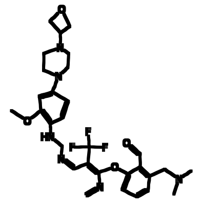 C=N/C(Oc1cccc(CN(C)C)c1C=O)=C(\C=N/CNc1ccc(N2CCN(C3COC3)CC2)cc1OC)C(F)(F)F